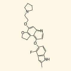 Cc1cc2c(F)c(Oc3ccnc4cc(OCCN5CCCC5)c5c(c34)CCO5)ccc2[nH]1